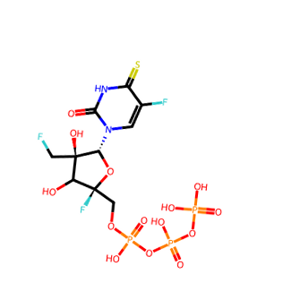 O=c1[nH]c(=S)c(F)cn1[C@@H]1O[C@](F)(COP(=O)(O)OP(=O)(O)OP(=O)(O)O)C(O)[C@]1(O)CF